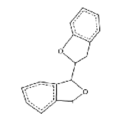 [CH]1OC(C2Cc3ccccc3O2)c2ccccc21